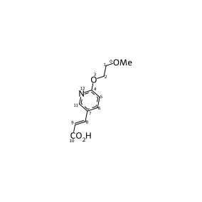 COCCOc1ccc(/C=C/C(=O)O)cn1